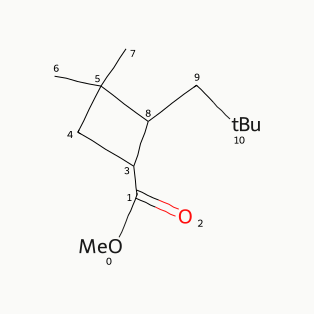 COC(=O)C1CC(C)(C)C1CC(C)(C)C